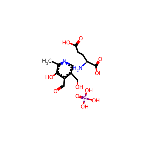 Cc1ncc(CO)c(C=O)c1O.N[C@@H](CCC(=O)O)C(=O)O.O=P(O)(O)O